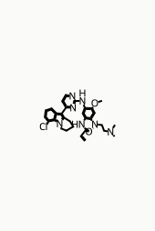 C=CC(=O)Nc1cc(Nc2nccc(-c3c4n(c5c(Cl)cccc35)CCCC4)n2)c(OC)cc1N(C)CCN(C)C